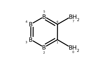 Bc1bbbbc1B